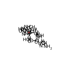 CC(C)(C)[Si](C)(C)OC1C2COP(=O)(O)NC3CC(n4cnc5c(N)ncnc54)OC3COP(=O)(O)OC1C(n1cnc3c(=O)[nH]c(N)nc31)O2